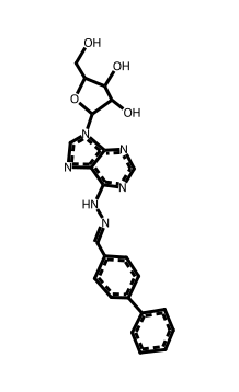 OCC1OC(n2cnc3c(N/N=C/c4ccc(-c5ccccc5)cc4)ncnc32)C(O)C1O